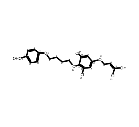 O=Cc1ccc(OCCCCOc2c(Cl)cc(OCC=C(Cl)Cl)cc2Cl)cc1